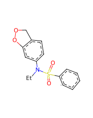 CCN(c1ccc2c(c1)OOC2)S(=O)(=O)c1[c]cccc1